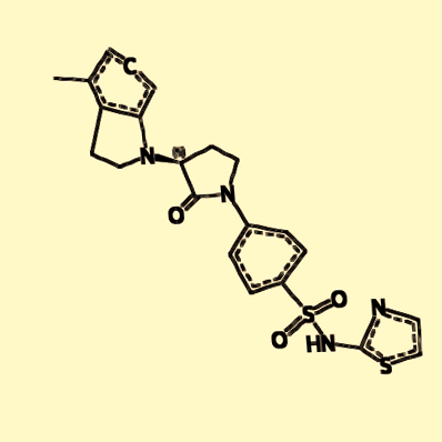 Cc1cccc2c1CCN2[C@H]1CCN(c2ccc(S(=O)(=O)Nc3nccs3)cc2)C1=O